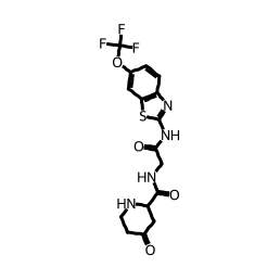 O=C1CCNC(C(=O)NCC(=O)Nc2nc3ccc(OC(F)(F)F)cc3s2)C1